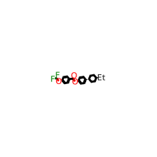 CC[C@H]1CC[C@H](c2ccc(OC(=O)c3ccc(OC(F)F)cc3)cc2)CC1